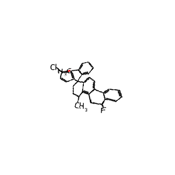 Cc1ccccc1C1(c2ccc(Cl)cc2)CCC(C)c2c1ccc1c2CC(F)c2ccccc2-1